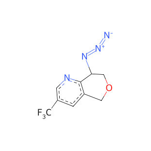 [N-]=[N+]=NC1COCc2cc(C(F)(F)F)cnc21